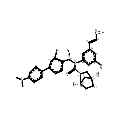 [2H][C@H](c1ccc(-c2ccc(N(C)C)cc2)cc1F)N(C(=O)[C@H]1C[C@H]2CC[C@@H]1C2)c1cc(F)cc(/C=C/C(=O)O)c1